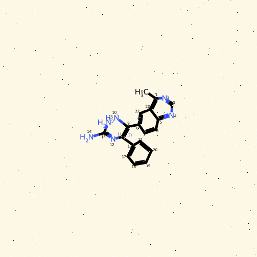 Cc1ncnc2ccc(/C(N)=C(/N=C(N)N)c3ccccc3)cc12